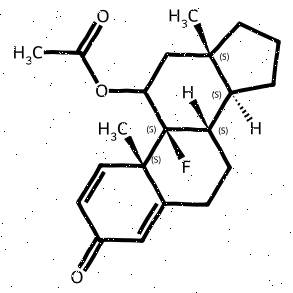 CC(=O)OC1C[C@]2(C)CCC[C@H]2[C@@H]2CCC3=CC(=O)C=C[C@]3(C)[C@]12F